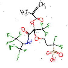 C=C(C)C(=O)OC(OCCC(F)(F)S(=O)(=O)O)(C(=O)NC(C(F)(F)F)C(F)(F)F)C(F)(F)F